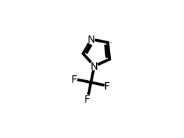 FC(F)(F)n1c[c]nc1